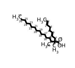 CC=CCCC=CCC(C)(C(=O)O)C(C)CCCCCCCCCCCCC